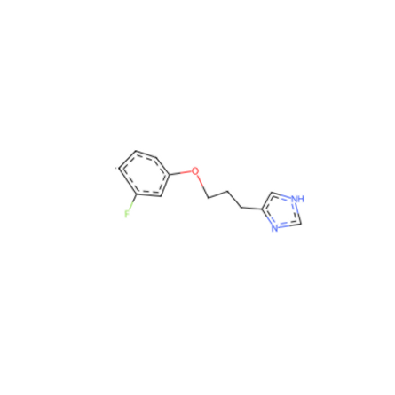 Fc1[c]ccc(OCCCc2c[nH]cn2)c1